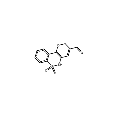 O=CC1=CC2=C(OC1)c1ccccc1S(=O)(=O)N2